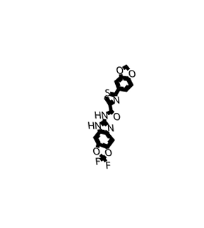 O=C(Nc1nc2cc3c(cc2[nH]1)OC(F)(F)O3)c1csc(-c2ccc3c(c2)OCO3)n1